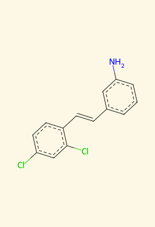 Nc1cccc(C=Cc2ccc(Cl)cc2Cl)c1